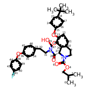 CC(C)COC(=O)N1CCc2ccc(Oc3ccc(C(C)(C)C)cc3)cc2[C@H]1C(=O)N(CCc1ccc(Oc2ccc(F)cc2)cc1)C(=O)O